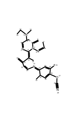 C=CN(/N=C\C)C(/N=C\C(C)N(C)CC)=C(\C)C(=C)/C=C\N=C1\C=C(F)C(OC#N)=CC1C